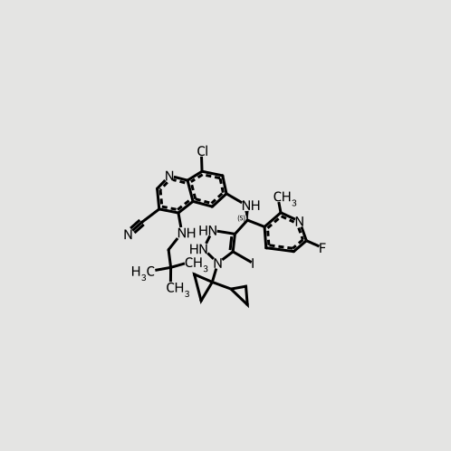 Cc1nc(F)ccc1[C@H](Nc1cc(Cl)c2ncc(C#N)c(NCC(C)(C)C)c2c1)C1=C(I)N(C2(C3CC3)CC2)NN1